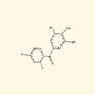 CC(C)c1cc(C(=O)c2ccc(F)cc2F)cc(C(C)C)c1O